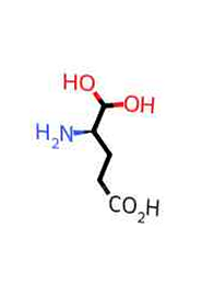 N[C@H](CCC(=O)O)C(O)O